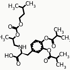 CC(C)CCOC(=O)OC(C)CN[C@@H](Cc1ccc(OC(=O)C(C)C)c(OC(=O)C(C)C)c1)C(=O)O